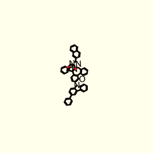 c1ccc(-c2ccc3c(c2)c2ccccc2n3-c2ccc(-c3ccccc3)c3c2oc2cccc(-c4nc(-c5ccccc5)nc(-c5ccc6ccccc6c5)n4)c23)cc1